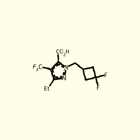 CCc1nn(CC2CC(F)(F)C2)c(C(=O)O)c1C(F)(F)F